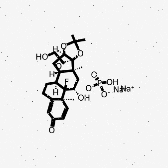 CC1(C)O[C@@H]2C[C@H]3[C@@H]4CCC5=CC(=O)C=C[C@]5(C)C4(F)[C@@H](O)C[C@]3(C)[C@]2(C(=O)CO)O1.O=P([O-])([O-])O.[Na+].[Na+]